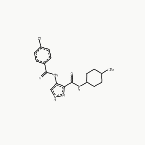 CC(C)(C)C1CCC(NC(=O)c2n[nH]cc2NC(=O)c2ccc(Cl)cc2)CC1